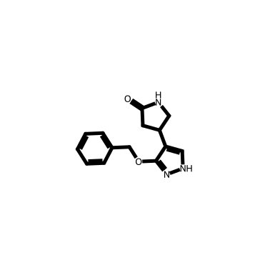 O=C1CC(c2c[nH]nc2OCc2ccccc2)CN1